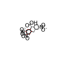 O=C(O)C12c3ccc([N+](=O)[O-])cc3C(c3cc([N+](=O)[O-])ccc31)c1ccc([N+](=O)[O-])cc12